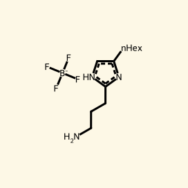 CCCCCCc1c[nH]c(CCCN)n1.F[B-](F)(F)F